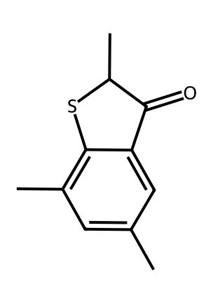 Cc1cc(C)c2c(c1)C(=O)C(C)S2